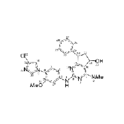 CNc1nc(Nc2ccc(-n3cnc(Cl)c3)c(OC)c2)nc2c1C(O)CC2c1ccccc1